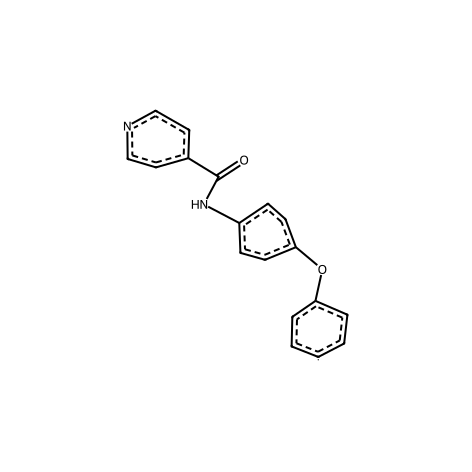 O=C(Nc1ccc(Oc2cc[c]cc2)cc1)c1ccncc1